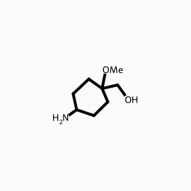 COC1(CO)CCC(N)CC1